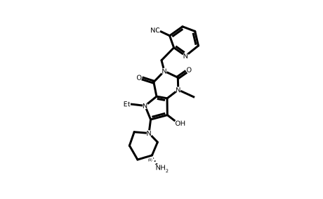 CCn1c(N2CCC[C@@H](N)C2)c(O)c2c1c(=O)n(Cc1ncccc1C#N)c(=O)n2C